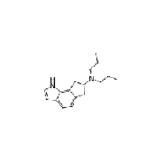 CCCN(CCC)C1Cc2ccc3cc[nH]c3c2C1